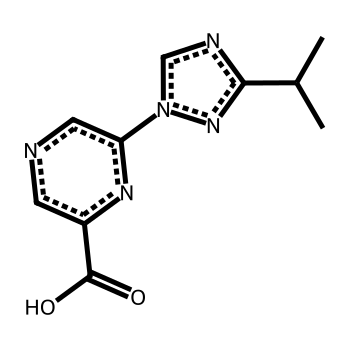 CC(C)c1ncn(-c2cncc(C(=O)O)n2)n1